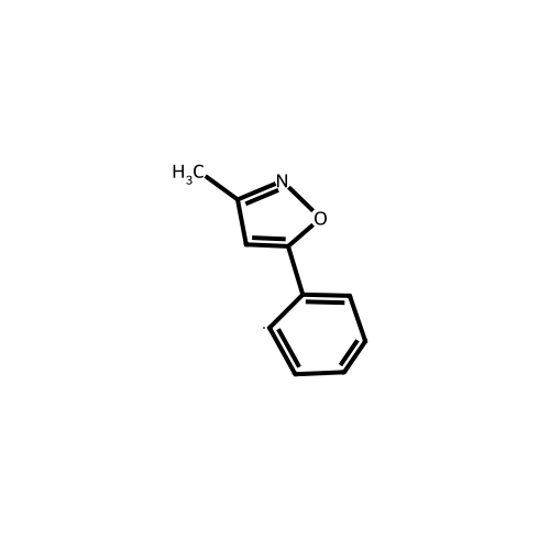 Cc1cc(-c2[c]cccc2)on1